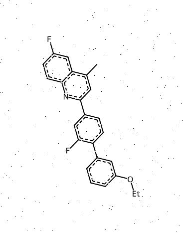 CCOc1cccc(-c2ccc(-c3cc(C)c4cc(F)ccc4n3)cc2F)c1